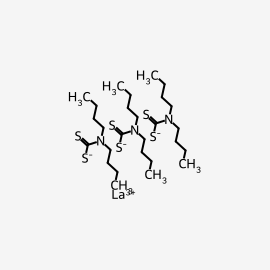 CCCCN(CCCC)C(=S)[S-].CCCCN(CCCC)C(=S)[S-].CCCCN(CCCC)C(=S)[S-].[La+3]